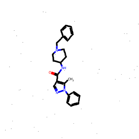 Cc1c(C(=O)NC2CCN(Cc3ccccc3)CC2)cnn1-c1ccccc1